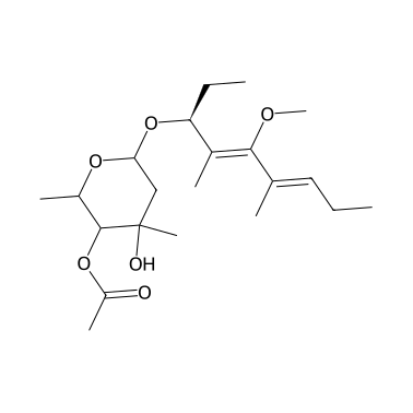 CC/C=C(C)/C(OC)=C(\C)[C@H](CC)OC1CC(C)(O)C(OC(C)=O)C(C)O1